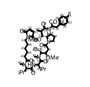 CCC(C)C(C(CC(=O)N1CCC[C@H]1C(OC)C(C)C(=O)NC(Cc1ccc(F)cc1)C(=O)O)OC)N(C)C(=O)C(NC(=O)C(C(C)C)N(C)C(=O)CCCCCN1C(=O)C=CC1=O)C(C)C